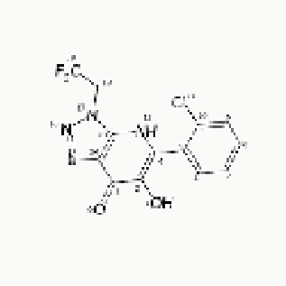 O=c1c(O)c(-c2ccccc2Cl)[nH]c2c1cnn2CC(F)(F)F